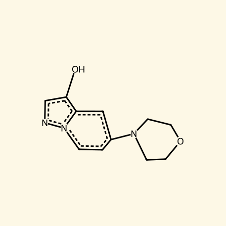 Oc1cnn2ccc(N3CCOCC3)cc12